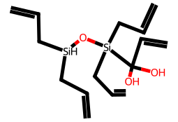 C=CC[SiH](CC=C)O[Si](CC=C)(CC=C)C(O)(O)C=C